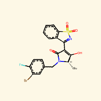 CC(C)(C)[C@H]1C(O)=C(C2=NS(=O)(=O)c3ccccc32)C(=O)N1Cc1ccc(F)c(Br)c1